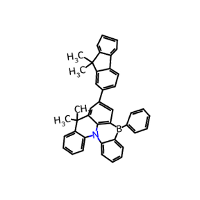 CC1(C)c2ccccc2-c2ccc(-c3cc4c5c(c3)C(C)(C)c3ccccc3N5c3ccccc3B4c3ccccc3)cc21